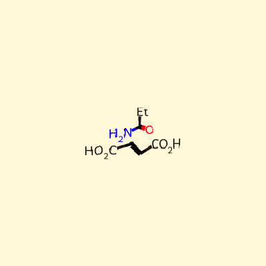 CCC(N)=O.O=C(O)/C=C/C(=O)O